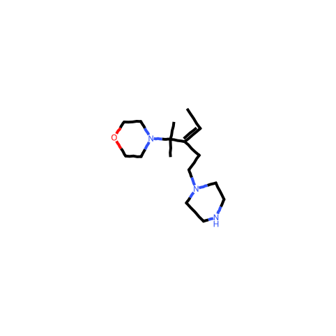 CC=C(CCN1CCNCC1)C(C)(C)N1CCOCC1